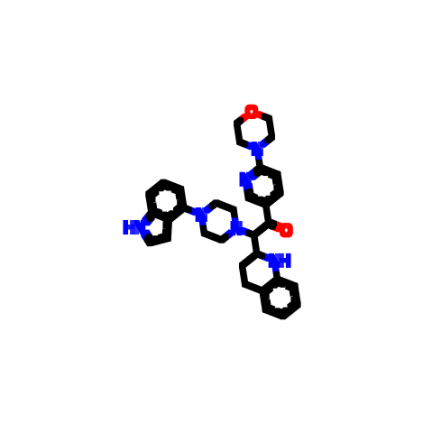 O=C(c1ccc(N2CCOCC2)nc1)C(C1CCc2ccccc2N1)N1CCN(c2cccc3[nH]ccc23)CC1